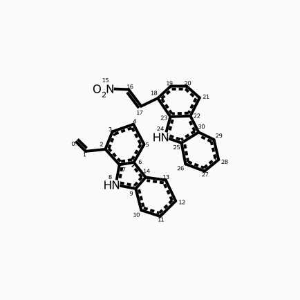 C=Cc1cccc2c1[nH]c1ccccc12.O=[N+]([O-])C=Cc1cccc2c1[nH]c1ccccc12